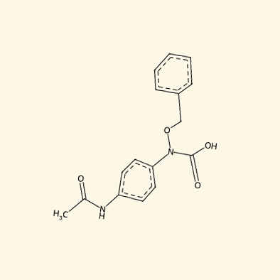 CC(=O)Nc1ccc(N(OCc2ccccc2)C(=O)O)cc1